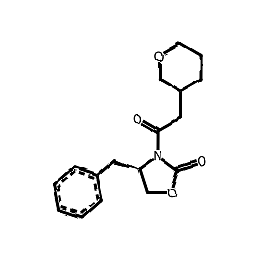 O=C(CC1CCCOC1)N1C(=O)OC[C@H]1Cc1ccccc1